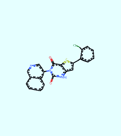 O=c1[nH]c2cc(-c3ccccc3Cl)sc2c(=O)n1-c1cncc2ccccc12